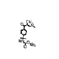 CN(C)C=C(C#N)C(=O)c1ccc(C(C)(C)NC(=O)OC(C)(C)C)cc1